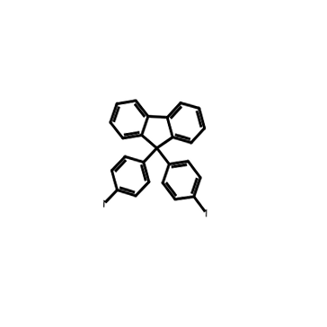 Ic1ccc(C2(c3ccc(I)cc3)c3ccccc3-c3ccccc32)cc1